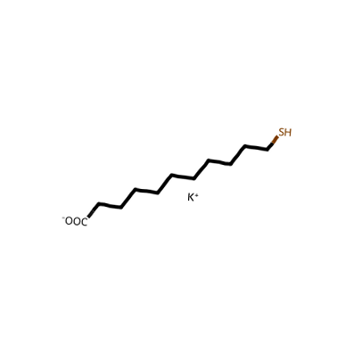 O=C([O-])CCCCCCCCCCS.[K+]